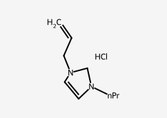 C=CCN1C=CN(CCC)C1.Cl